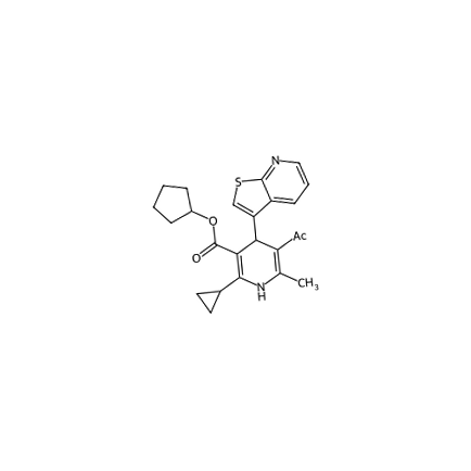 CC(=O)C1=C(C)NC(C2CC2)=C(C(=O)OC2CCCC2)C1c1csc2ncccc12